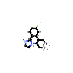 C/C=c1\c(=C/C)n2ccnc2c2ccc(F)cc12